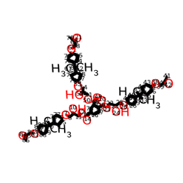 CC(C)(c1ccc(OCC(O)COC(=O)c2ccc(C(=O)OCC(O)COc3ccc(C(C)(C)c4ccc(OCC5CO5)cc4)cc3)c(C(=O)OCC(O)COc3ccc(C(C)(C)c4ccc(OCC5CO5)cc4)cc3)c2)cc1)c1ccc(OCC2CO2)cc1